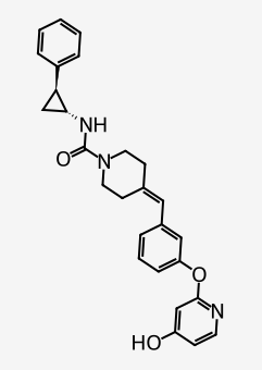 O=C(N[C@@H]1C[C@H]1c1ccccc1)N1CCC(=Cc2cccc(Oc3cc(O)ccn3)c2)CC1